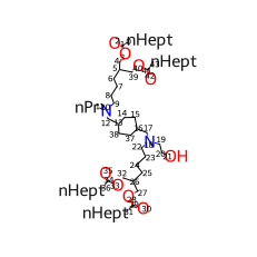 CCCCCCCC(=O)OCC(CCCCN(CCC)CC1CCC(CN(CCO)CCCCC(COC(=O)CCCCCCC)COC(=O)CCCCCCC)CC1)COC(=O)CCCCCCC